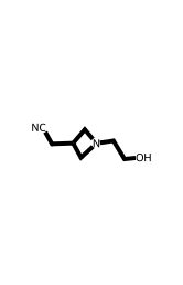 N#CCC1CN(CCO)C1